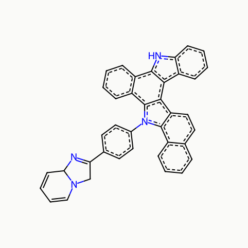 C1=CC2N=C(c3ccc(-n4c5c6ccccc6ccc5c5c6c7ccccc7[nH]c6c6ccccc6c54)cc3)CN2C=C1